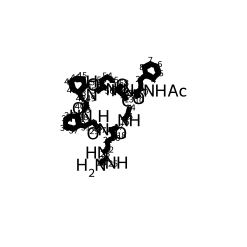 CC(=O)N[C@@H](Cc1ccccc1)C(=O)N[C@H]1CCCNC(=O)C(CCCNC(=N)N)NC(=O)C(Cc2ccccc2)NC(=O)[C@@H](Cc2ccccc2)NC(=O)C2CCCN2C1=O